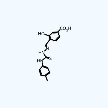 Cc1ccc(NC(=S)N/N=C/c2ccc(C(=O)O)cc2O)cc1